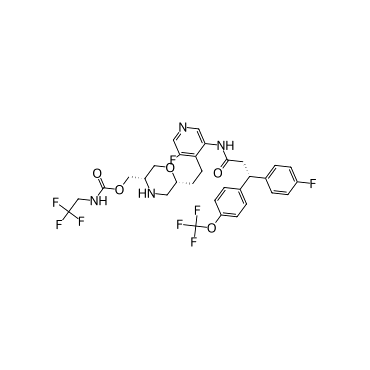 O=C(C[C@H](c1ccc(F)cc1)c1ccc(OC(F)(F)F)cc1)Nc1cncc(F)c1CC[C@@H]1CN[C@H](COC(=O)NCC(F)(F)F)CO1